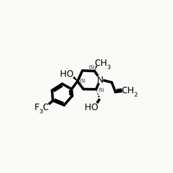 C=CCN1[C@H](CO)C[C@](O)(c2ccc(C(F)(F)F)cc2)C[C@@H]1C